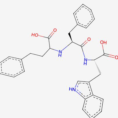 O=C(O)C(CCc1ccccc1)N[C@@H](Cc1ccccc1)C(=O)N[C@@H](Cc1c[nH]c2ccccc12)C(=O)O